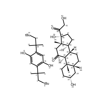 CC(C)(C)CC(C)(C)c1cc(O)c(C(C)(C)CC(C)(C)C)cc1O.C[C@]12CC[C@@H](O)C[C@H]1CC[C@@H]1[C@@H]2C(=O)C[C@@]2(C)[C@H]1CC[C@]2(O)C(=O)CO